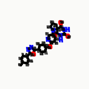 Cc1ccc(-c2nnc(-c3ccc(Oc4ccc(N5CCCC56C(=O)NC(=O)NC6=O)cn4)cc3)o2)cc1